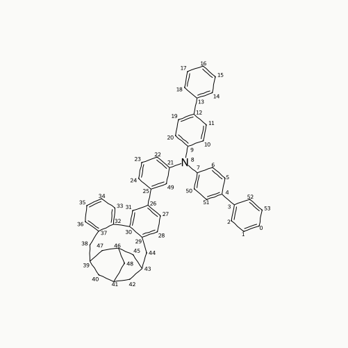 c1ccc(-c2ccc(N(c3ccc(-c4ccccc4)cc3)c3cccc(-c4ccc5c(c4)-c4ccccc4CC4CC6CC(C5)CC(C4)C6)c3)cc2)cc1